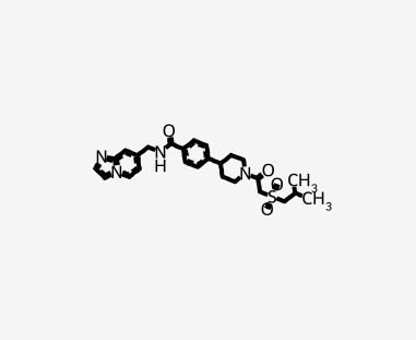 CC(C)CS(=O)(=O)CC(=O)N1CCC(c2ccc(C(=O)NCc3ccn4ccnc4c3)cc2)CC1